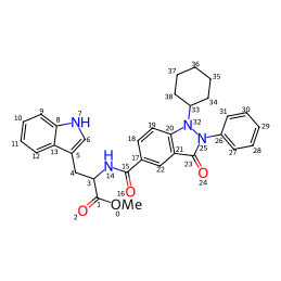 COC(=O)C(Cc1c[nH]c2ccccc12)NC(=O)c1ccc2c(c1)c(=O)n(-c1ccccc1)n2C1CCCCC1